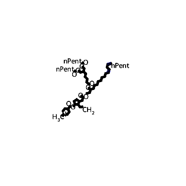 C=CCC1C(CC(=O)OCCC(CCCCCCCC/C=C\C/C=C\CCCCC)OC(=O)CCCCC(COC(=O)CCCCC)COC(=O)CCCCC)CCC1OC(=O)C1CCN(C)CC1